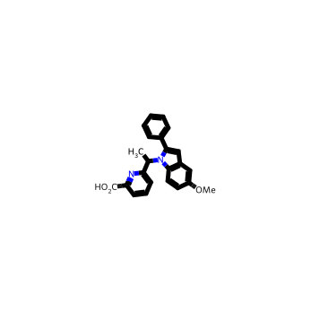 COc1ccc2c(c1)cc(-c1ccccc1)n2C(C)c1cccc(C(=O)O)n1